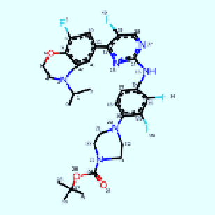 CC(C)N1CCOc2c(F)cc(-c3nc(Nc4ccc(N5CCN(C(=O)OC(C)(C)C)CC5)c(F)c4F)ncc3F)cc21